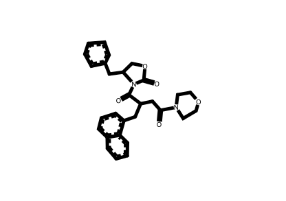 O=C(CC(Cc1cccc2ccccc12)C(=O)N1C(=O)OCC1Cc1ccccc1)N1CCOCC1